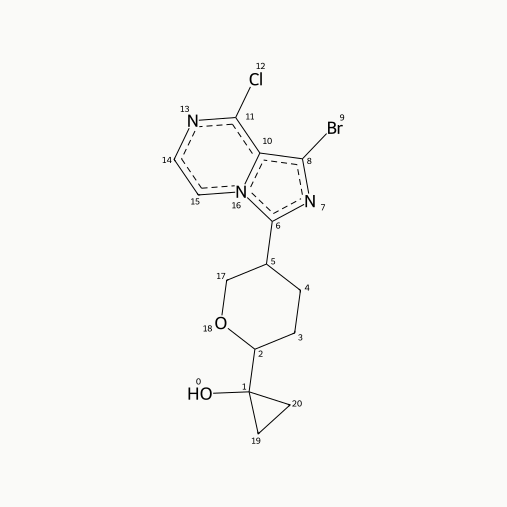 OC1(C2CCC(c3nc(Br)c4c(Cl)nccn34)CO2)CC1